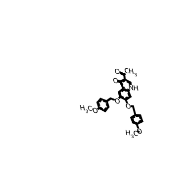 COc1ccc(COc2cc3[nH]cc(C(C)=O)c(=O)c3cc2OCc2ccc(OC)cc2)cc1